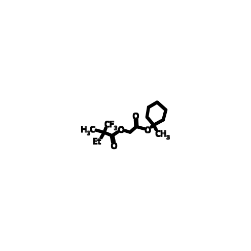 CCC(C)(C(=O)OCC(=O)OC1(C)CCCCC1)C(F)(F)F